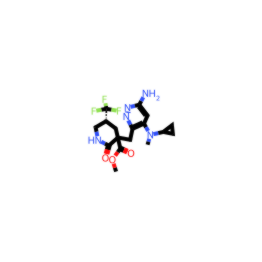 COC(=O)C1(Cc2nnc(N)cc2N(C)C2CC2)C[C@@H](C(F)(F)F)CNC1=O